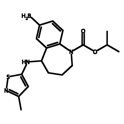 Bc1ccc2c(c1)C(Nc1cc(C)ns1)CCCN2C(=O)OC(C)C